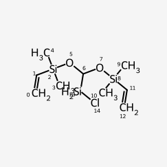 C=C[Si](C)(C)OC(O[Si](C)(C)C=C)[SiH2]Cl